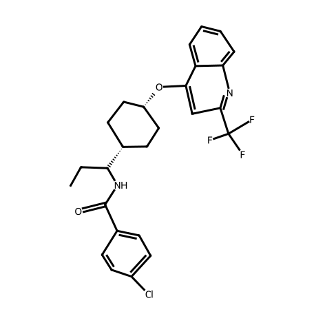 CCC(NC(=O)c1ccc(Cl)cc1)[C@H]1CC[C@@H](Oc2cc(C(F)(F)F)nc3ccccc23)CC1